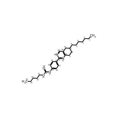 CCCCCCCC1CCc2nc(-c3ccc(OC(=O)OCCCCC)cc3)ncc2C1